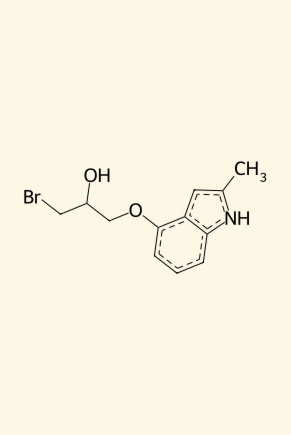 Cc1cc2c(OCC(O)CBr)cccc2[nH]1